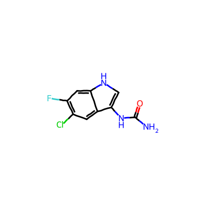 NC(=O)Nc1c[nH]c2cc(F)c(Cl)cc12